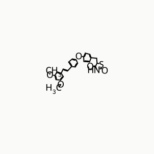 COc1cc(C=Cc2ccc(Oc3ccc(CC4SC(=O)NC4=O)cc3)cc2)cc(OC)c1